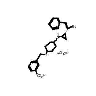 CCC(=Cc1ccccc1)[C@@H]1C[C@H]1NC1CCC(NCc2cccc(C(=O)O)c2)CC1.Cl.Cl